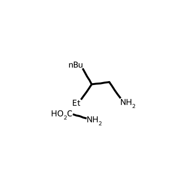 CCCCC(CC)CN.NC(=O)O